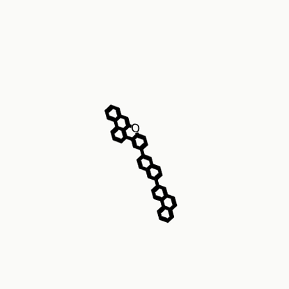 c1ccc2c(c1)ccc1cc(-c3ccc4cc(-c5ccc6c(c5)-c5cccc7c5c(cc5ccccc57)O6)ccc4c3)ccc12